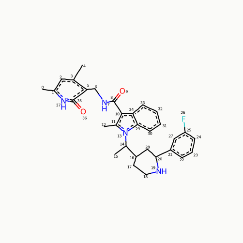 Cc1cc(C)c(CNC(=O)c2c(C)n(C(C)C3CCNC(c4cccc(F)c4)C3)c3ccccc23)c(=O)[nH]1